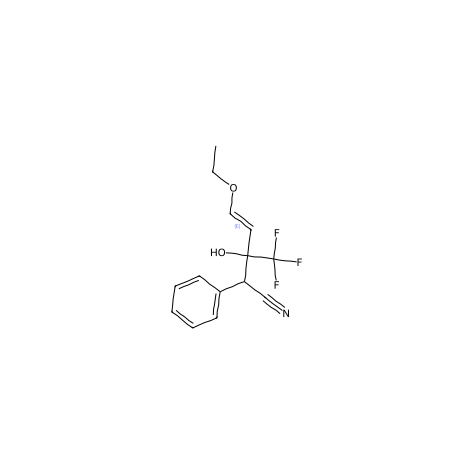 CCO/C=C/C(O)(C(C#N)c1ccccc1)C(F)(F)F